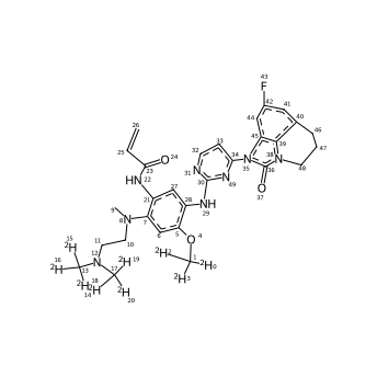 [2H]C([2H])([2H])Oc1cc(N(C)CCN(C([2H])([2H])[2H])C([2H])([2H])[2H])c(NC(=O)C=C)cc1Nc1nccc(-n2c(=O)n3c4c(cc(F)cc42)CCC3)n1